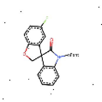 CCCCCN1C(=O)C2(COc3ccc(F)cc32)c2ccccc21